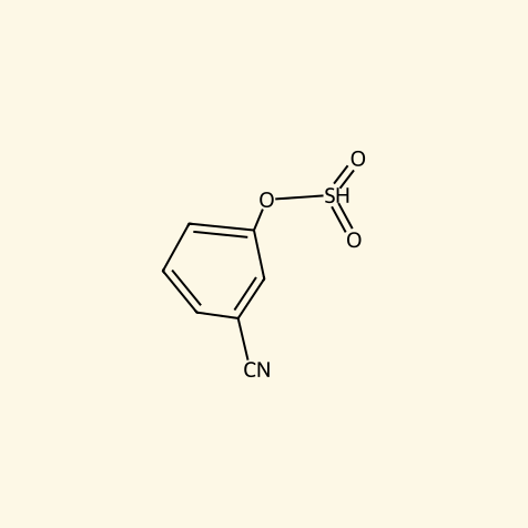 N#Cc1cccc(O[SH](=O)=O)c1